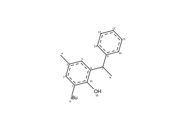 CCC(C)c1cc(C)cc(C(C)c2ccccc2)c1O